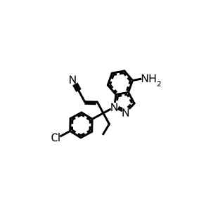 CCC(C=CC#N)(c1ccc(Cl)cc1)n1ncc2c(N)cccc21